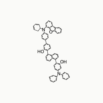 Oc1cc(-c2ccc(N(c3cccc4c3oc3ccccc34)C3C=CC=CC3)cc2)ccc1-c1cccc2c(-c3ccc(N(c4ccccc4)c4ccccc4)cc3O)cccc12